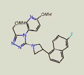 COCc1nnc(N2CC(c3cccc4cc(F)ccc34)C2)n1-c1ccc(OC)nc1